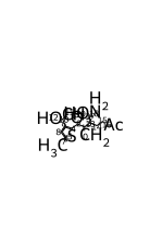 C=C(C(=O)c1sc(C)cc1C(C)O)C(CCC(C)=O)C(N)O